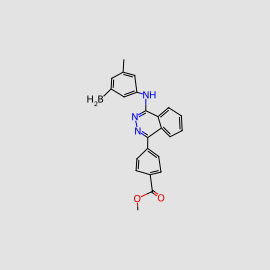 Bc1cc(C)cc(Nc2nnc(-c3ccc(C(=O)OC)cc3)c3ccccc23)c1